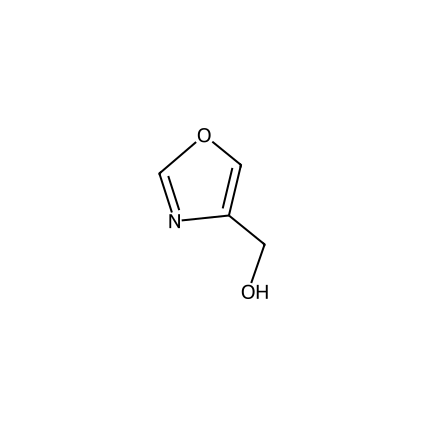 OCc1cocn1